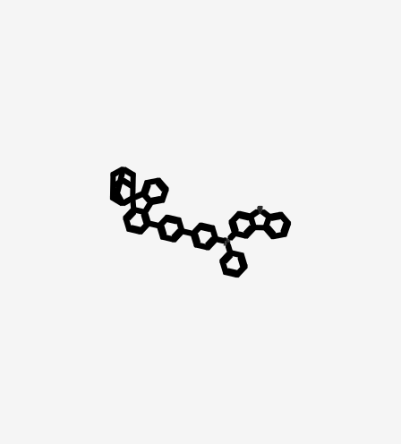 c1ccc(N(c2ccc(-c3ccc(-c4cccc5c4-c4ccccc4C54C5CC6CC(C5)CC4C6)cc3)cc2)c2ccc3sc4ccccc4c3c2)cc1